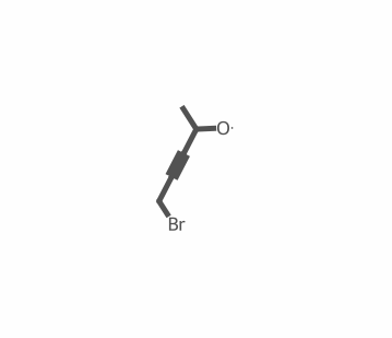 CC([O])C#CCBr